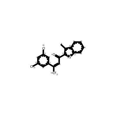 Cc1c(C(=O)/C=C(\c2cc(Cl)cc(Cl)c2)C(F)(F)F)sc2ccccc12